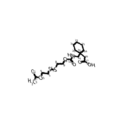 CC(=O)OCCSSCCOC(=O)NCC1(CC(=O)O)CCCCC1